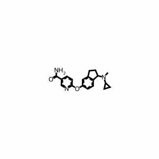 CN(C1CC1)C1CCc2cc(Oc3ccc(C(N)=O)cn3)ccc21